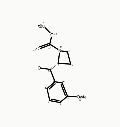 COc1cccc(C(O)[C@H]2CCN2C(=O)OC(C)(C)C)c1